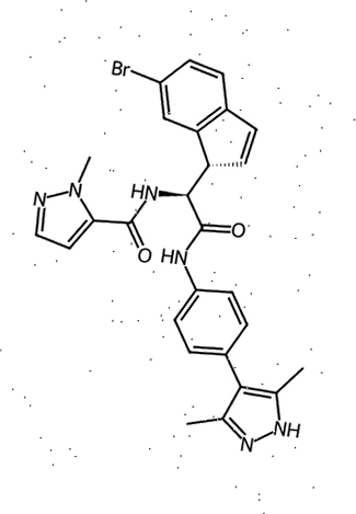 Cc1n[nH]c(C)c1-c1ccc(NC(=O)[C@@H](NC(=O)c2ccnn2C)[C@H]2C=Cc3ccc(Br)cc32)cc1